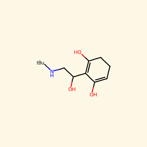 CC(C)(C)NCC(O)C1=C(O)CCC=C1O